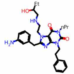 CCCn1c(=O)c2c(nc(Cc3cccc(N)c3)n2CCNCC(O)CC)n(CCc2ccccc2)c1=O